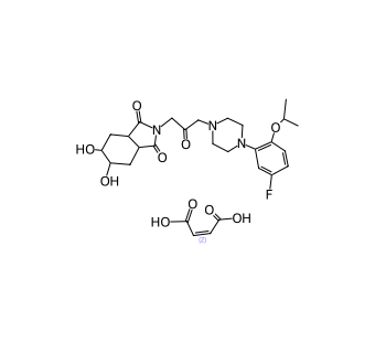 CC(C)Oc1ccc(F)cc1N1CCN(CC(=O)CN2C(=O)C3CC(O)C(O)CC3C2=O)CC1.O=C(O)/C=C\C(=O)O